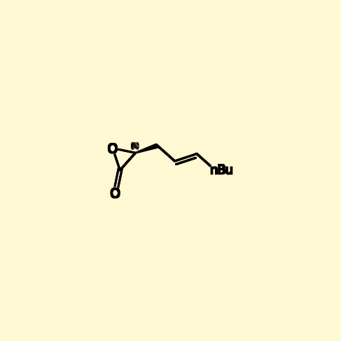 CCCCC=CC[C@@H]1OC1=O